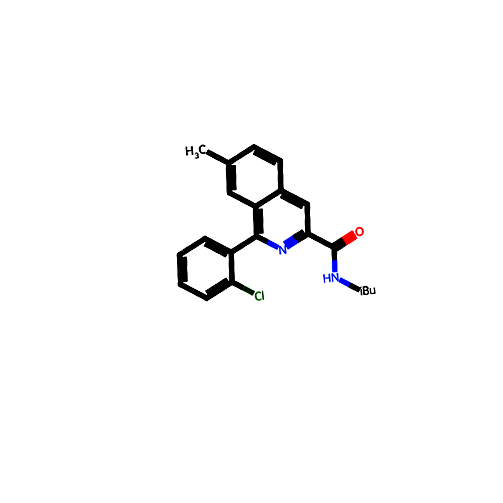 CCC(C)NC(=O)c1cc2ccc(C)cc2c(-c2ccccc2Cl)n1